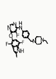 CCN1CCN(Cc2ccc(Nc3ncnc(Oc4cc(F)c5[nH]c(C)cc5c4F)c3F)cc2)CC1